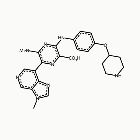 CNc1nc(Nc2ccc(OC3CCNCC3)cc2)c(C(=O)O)nc1-c1cncc2c1ncn2C